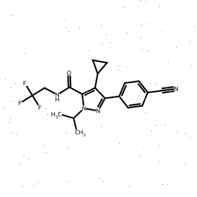 CC(C)n1nc(-c2ccc(C#N)cc2)c(C2CC2)c1C(=O)NCC(F)(F)F